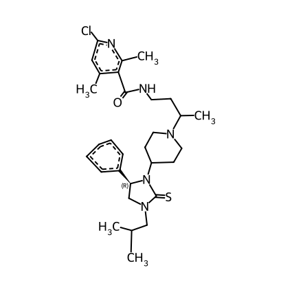 Cc1cc(Cl)nc(C)c1C(=O)NCCC(C)N1CCC(N2C(=S)N(CC(C)C)C[C@H]2c2ccccc2)CC1